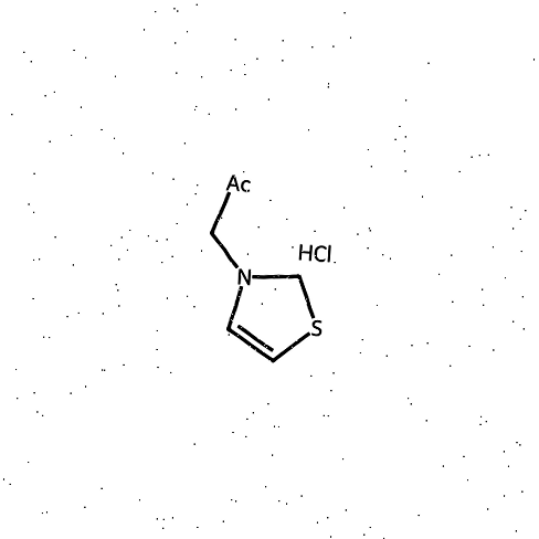 CC(=O)CN1C=CSC1.Cl